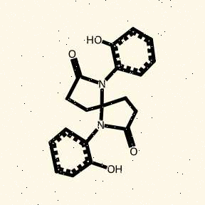 O=C1CCC2(CCC(=O)N2c2ccccc2O)N1c1ccccc1O